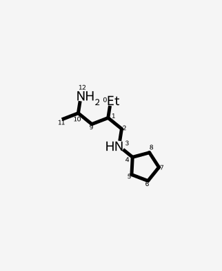 CCC(CNC1CCCC1)CC(C)N